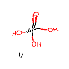 O=[As](O)(O)O.[U]